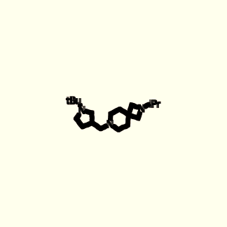 CC(C)N1CC2(CCN(CC3CCN(C(C)(C)C)C3)CC2)C1